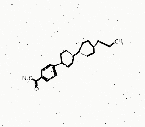 CCC[C@H]1CC[C@H]([C@H]2CC[C@H](c3ccc(C(C)=O)cc3)CC2)CC1